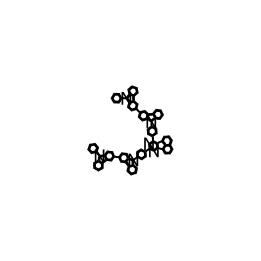 c1ccc(-n2c3ccccc3c3cc(-c4ccc5c(c4)c4ccccc4n5-c4ccc(-c5nc(-c6ccc(-n7c8ccccc8c8cc(-c9ccc%10c(c9)c9ccccc9n%10-c9ccccc9)ccc87)cc6)c6c(n5)-c5cccc7cccc-6c57)cc4)ccc32)cc1